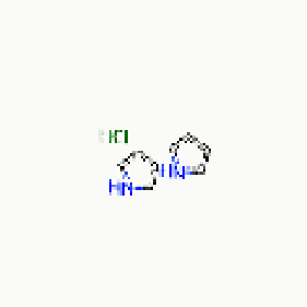 Cl.c1cc[nH]c1.c1cc[nH]c1